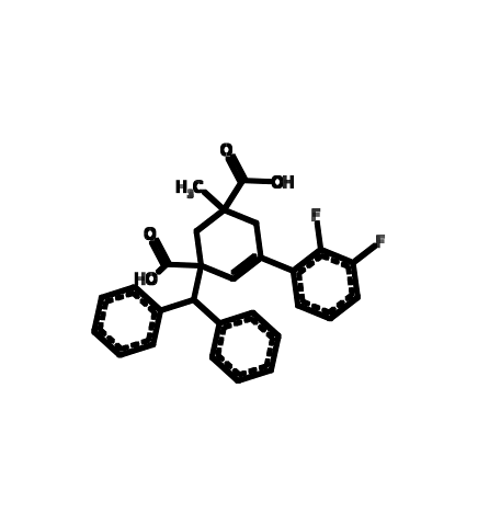 CC1(C(=O)O)CC(c2cccc(F)c2F)=CC(C(=O)O)(C(c2ccccc2)c2ccccc2)C1